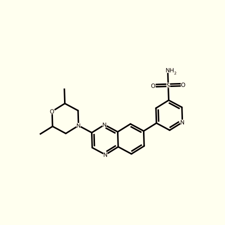 CC1CN(c2cnc3ccc(-c4cncc(S(N)(=O)=O)c4)cc3n2)CC(C)O1